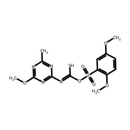 COc1ccc(OC)c(S(=O)(=O)OC(S)=Nc2nc(C)nc(OC)n2)c1